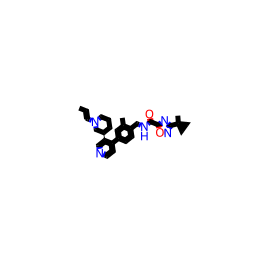 CC=CN1CCC[C@H](c2cnccc2-c2ccc(CNC(=O)c3nc(C4(C)CC4)no3)c(C)c2)C1